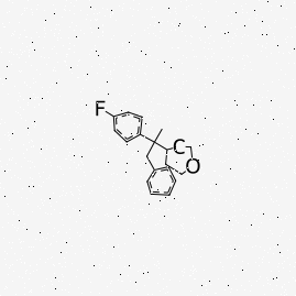 CC(Cc1ccccc1)(c1ccc(F)cc1)C1CCOCC1